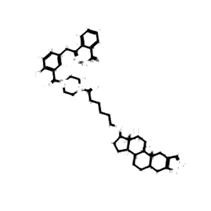 CC12Cc3cn[nH]c3CC1CCC1C2CCC2(C)C(OCCCCCC(=O)N3CCN(C(=O)c4cc(Cc5n[nH]c(=O)c6ccccc56)ccc4F)CC3)CCC12